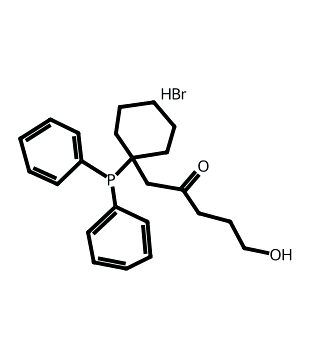 Br.O=C(CCCO)CC1(P(c2ccccc2)c2ccccc2)CCCCC1